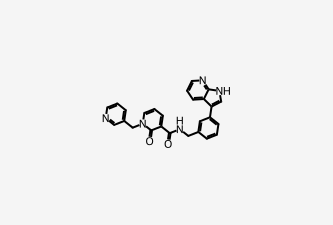 O=C(NCc1cccc(-c2c[nH]c3ncccc23)c1)c1cccn(Cc2cccnc2)c1=O